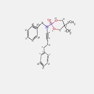 CC1(C)COP(=O)(N(C#CCCc2ccccc2)Cc2ccccc2)OC1